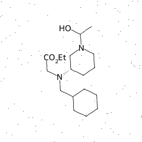 CCOC(=O)CN(CC1CCCCC1)[C@H]1CCCN(C(C)O)C1